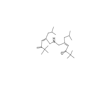 C=C(/C=C(\CNC/C(=C\C(=O)C(C)(C)C)CC(C)C)CC(C)C)C(C)(C)C